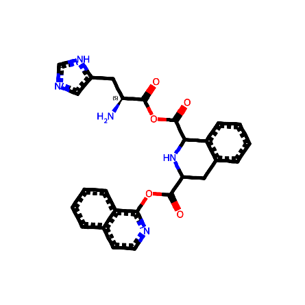 N[C@@H](Cc1cnc[nH]1)C(=O)OC(=O)C1NC(C(=O)Oc2nccc3ccccc23)Cc2ccccc21